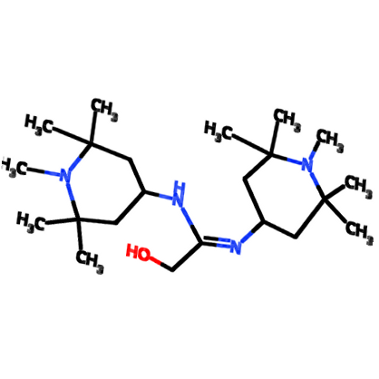 CN1C(C)(C)CC(N=C(CO)NC2CC(C)(C)N(C)C(C)(C)C2)CC1(C)C